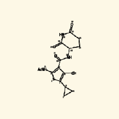 CC(=O)Nc1sc(C2CC2)c(Cl)c1C(=O)NC1CCC(=O)NC1=O